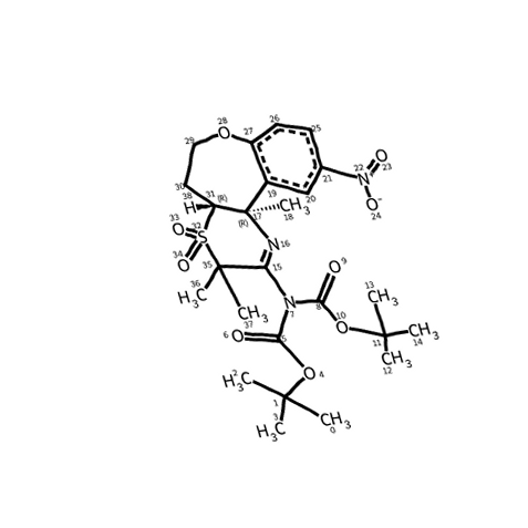 CC(C)(C)OC(=O)N(C(=O)OC(C)(C)C)C1=N[C@]2(C)c3cc([N+](=O)[O-])ccc3OCC[C@H]2S(=O)(=O)C1(C)C